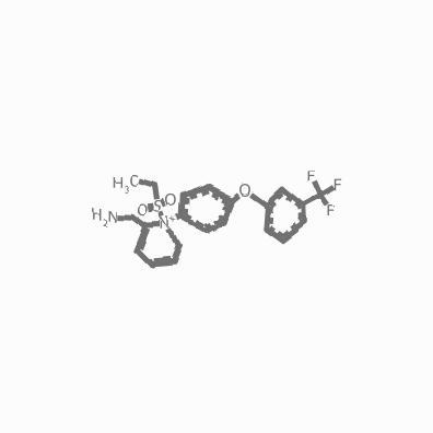 CCS(=O)(=O)[N+]1(c2ccc(Oc3cccc(C(F)(F)F)c3)cc2)CC=CC=C1CN